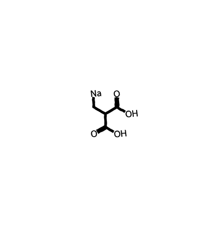 O=C(O)C([CH2][Na])C(=O)O